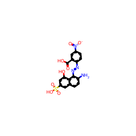 Nc1ccc2cc(S(=O)(=O)O)cc(O)c2c1N=Nc1ccc([N+](=O)[O-])cc1C(=O)O